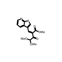 COC(=O)/C(=C\c1csc2ncccc12)C(=O)C(OC)OC